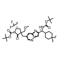 COCC1(Cc2cnn3cc([C@@H](NC(=O)OC(C)(C)C)C4CCC(F)(F)CC4)nc3c2)C[C@@H](C(F)(F)F)N(C(=O)OC(C)(C)C)C1=O